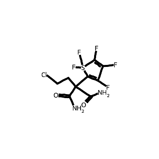 NC(=O)C(CCCl)(C(N)=O)C1=C(F)C(F)=C(F)S1(F)F